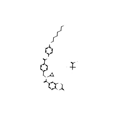 NCCCCCCSc1ccc(NC(=O)c2ccc(CN(C(=O)c3ccc4c(c3)OCC(=O)N4)C3CC3)cc2)cc1.O=C(O)C(F)(F)F